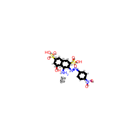 Nc1c(N=Nc2ccc([N+](=O)[O-])cc2)c(S(=O)(=O)O)cc2cc(S(=O)(=O)O)cc(O)c12.[Na].[Na]